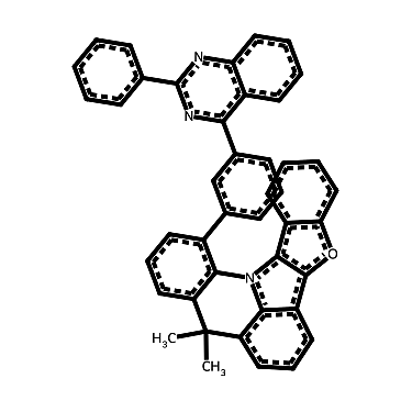 CC1(C)c2cccc(-c3cccc(-c4nc(-c5ccccc5)nc5ccccc45)c3)c2-n2c3c1cccc3c1oc3ccccc3c12